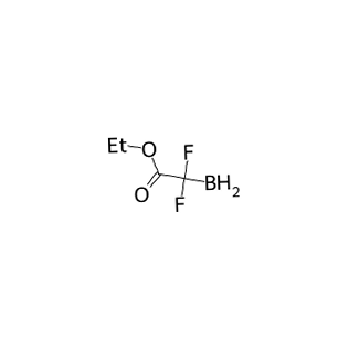 BC(F)(F)C(=O)OCC